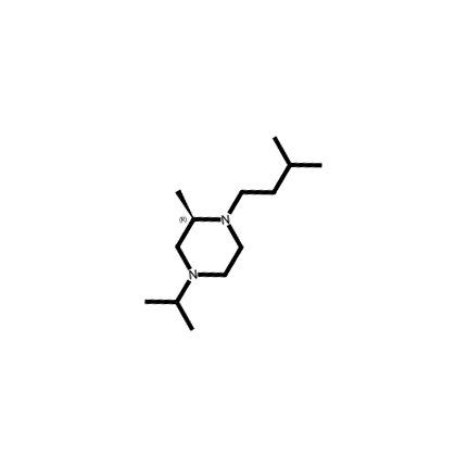 CC(C)CCN1CCN(C(C)C)C[C@H]1C